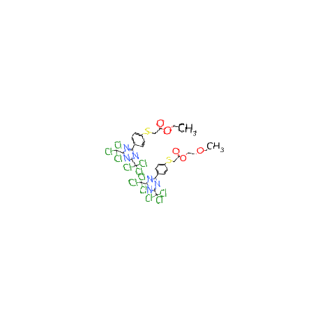 CCOC(=O)CSc1ccc(-c2nc(C(Cl)(Cl)Cl)nc(C(Cl)(Cl)Cl)n2)cc1.CCOCCOC(=O)CSc1ccc(-c2nc(C(Cl)(Cl)Cl)nc(C(Cl)(Cl)Cl)n2)cc1